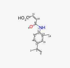 C=C(C)c1ccc(NC(=O)/C=C\C(=O)O)c(C)c1